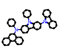 c1ccc(N(c2ccc3c4ccc(-n5c6ccccc6c6ccccc65)cc4n(-c4ccccc4)c3c2)c2cc3ccccc3c3ccccc23)cc1